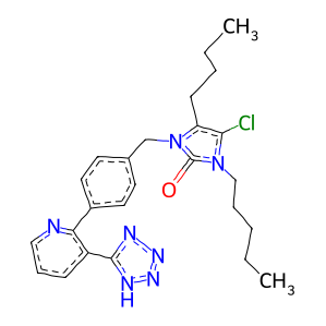 CCCCCn1c(Cl)c(CCCC)n(Cc2ccc(-c3ncccc3-c3nnn[nH]3)cc2)c1=O